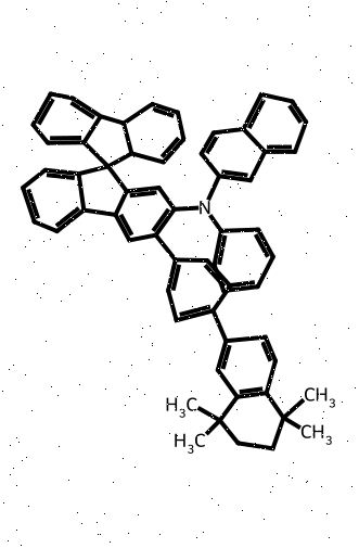 CC1(C)CCC(C)(C)c2cc(-c3ccc(-c4cc5c(cc4N(c4ccccc4)c4ccc6ccccc6c4)C4(c6ccccc6-5)c5ccccc5C5C=CC=CC54)cc3)ccc21